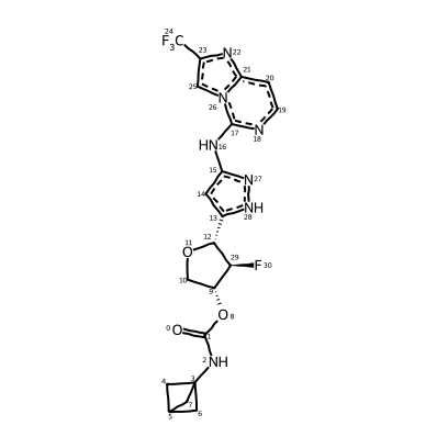 O=C(NC12CC(C1)C2)O[C@@H]1CO[C@H](c2cc(Nc3nccc4nc(C(F)(F)F)cn34)n[nH]2)[C@H]1F